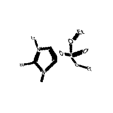 CCOP(=O)([O-])OCC.CCc1n(C)cc[n+]1CC